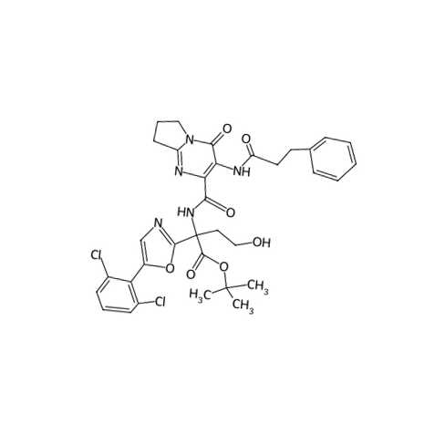 CC(C)(C)OC(=O)C(CCO)(NC(=O)c1nc2n(c(=O)c1NC(=O)CCc1ccccc1)CCC2)c1ncc(-c2c(Cl)cccc2Cl)o1